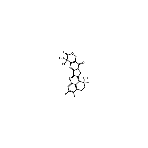 CC[C@@]1(O)C(=O)OCc2c1cc1n(c2=O)Cc2c-1nc1cc(F)c(C)c3c1c2[C@@](C)(O)CC3